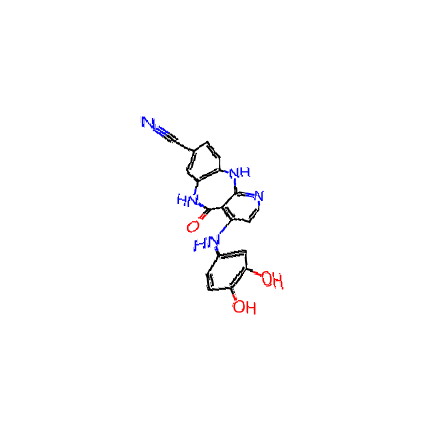 N#Cc1ccc2c(c1)NC(=O)c1c(Nc3ccc(O)c(O)c3)ccnc1N2